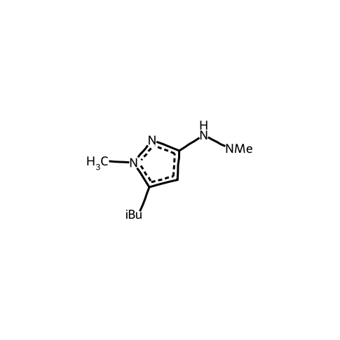 CCC(C)c1cc(NNC)nn1C